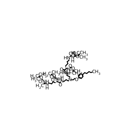 C=C(NCCCC[C@H](NC(=O)OC(C)(C)C)C(=O)NCCCN(CCCNC(=O)[C@@H](CCCCNC(=C)NC(=O)OC(C)(C)C)NC(=O)OC(C)(C)C)CCOc1ccc(CCCCC)cc1)NC(=O)OC(C)(C)C